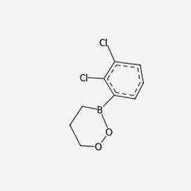 Clc1cccc(B2CCCOO2)c1Cl